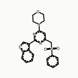 O=S(=O)(Cc1cc(N2CCOCC2)nc(-c2csc3ccccc23)n1)c1ccccc1